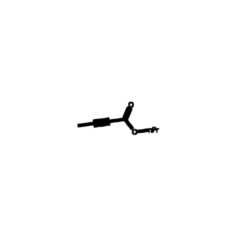 CC#CC(=O)OCCC